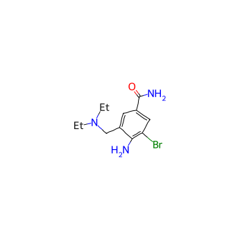 CCN(CC)Cc1cc(C(N)=O)cc(Br)c1N